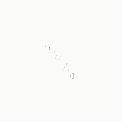 CCOc1ccc(-c2ccc(CCc3ccc(-c4ccc(C)nc4)c(F)c3F)cc2)cc1F